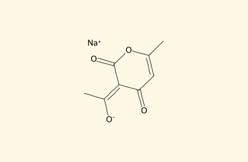 CC1=CC(=O)C(=C(C)[O-])C(=O)O1.[Na+]